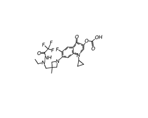 CCN(CC1(C)CN(c2cc3c(cc2F)c(=O)c(OC(=O)O)cn3C2CC2)C1)NC(=O)C(F)(F)F